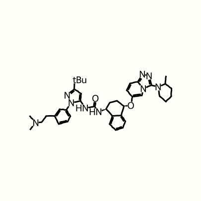 CC1CCCCN1c1nnc2ccc(O[C@@H]3CC[C@H](NC(=O)Nc4cc(C(C)(C)C)nn4-c4cccc(CCN(C)C)c4)c4ccccc43)cn12